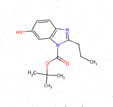 CCCc1nc2ccc(O)cc2n1C(=O)OC(C)(C)C